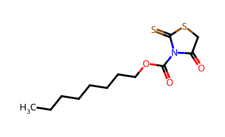 CCCCCCCCOC(=O)N1C(=O)CSC1=S